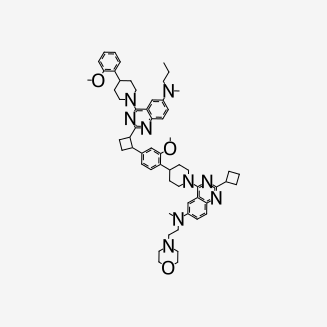 CCCN(C)c1ccc2nc(C3CCC3c3ccc(C4CCN(c5nc(C6CCC6)nc6ccc(N(C)CCN7CCOCC7)cc56)CC4)c(OC)c3)nc(N3CCC(c4ccccc4OC)CC3)c2c1